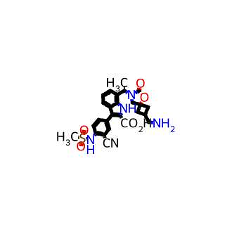 C[C@@H](c1cccc2c(-c3ccc(NS(C)(=O)=O)c(C#N)c3)c(C(=O)O)[nH]c12)N1CC2(CC(CN)C2)OC1=O